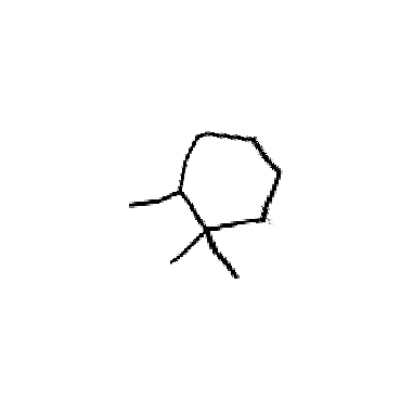 CC1CCC[C]C1(C)C